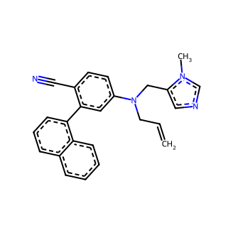 C=CCN(Cc1cncn1C)c1ccc(C#N)c(-c2cccc3ccccc23)c1